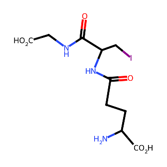 NC(CCC(=O)NC(CI)C(=O)NCC(=O)O)C(=O)O